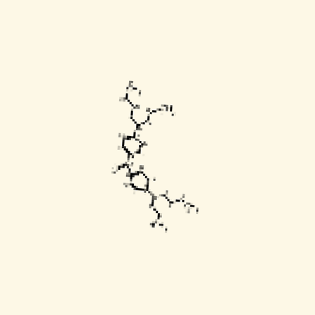 CCCCC(CCC)c1ccc(C(=O)c2ccc(C(CCC)CCCC)cc2)cc1